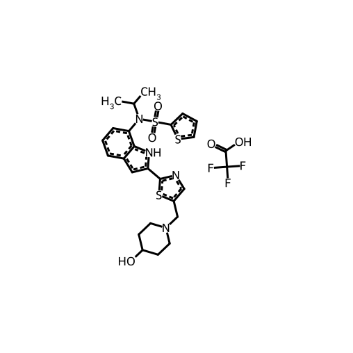 CC(C)N(c1cccc2cc(-c3ncc(CN4CCC(O)CC4)s3)[nH]c12)S(=O)(=O)c1cccs1.O=C(O)C(F)(F)F